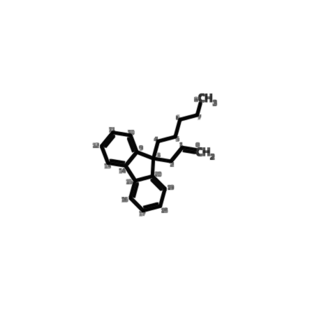 C=CCC1(CCCCC)c2ccccc2-c2ccccc21